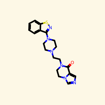 O=C1c2cncn2CCN1CCN1CCN(c2nsc3ccccc23)CC1